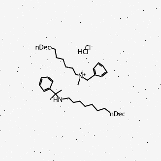 CCCCCCCCCCCCCCCCCNC(C)(C)c1ccccc1.CCCCCCCCCCCCCCCC[N+](C)(C)Cc1ccccc1.Cl.[Cl-]